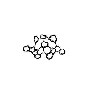 C1=CCC2=C(N=C1)c1c(n3c4c(cccc14)B1c4c-3cc(-c3ncccn3)cc4-n3c4c1cccc4c1c4nccnc4n(-c4ccccc4)c13)C(c1ccccc1)C2